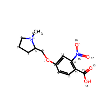 CN1CCCC1COc1ccc(C(=O)O)c([N+](=O)[O-])c1